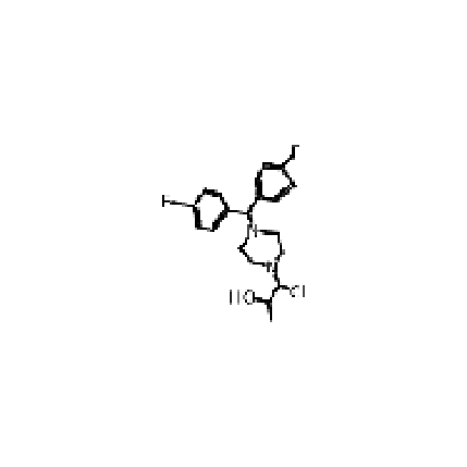 CC(O)C(Cl)N1CCN(C(c2ccc(F)cc2)c2ccc(F)cc2)CC1